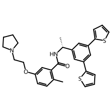 Cc1ccc(OCCN2CCCC2)cc1C(=O)N[C@H](C)c1cc(-c2cccs2)cc(-c2cccs2)c1